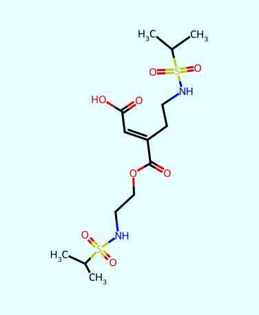 CC(C)S(=O)(=O)NCCOC(=O)C(=CC(=O)O)CCNS(=O)(=O)C(C)C